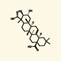 CC1(C)CC[C@]2(C(=O)O)CC[C@]3(C)C(=CC[C@@H]4[C@@]5(C)C[C@@H](O)[C@H](O)C(C)(C(=O)O)C5CC[C@]43C)[C@H]2C1